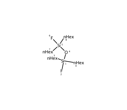 CCCCCC[Si](F)(CCCCCC)O[Si](F)(CCCCCC)CCCCCC